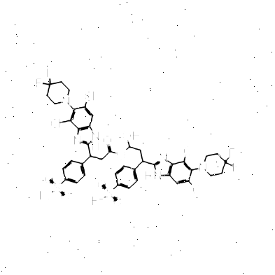 CCS(=O)(=O)c1ccc(C(CC(=O)OC(O)CC(c2ccc(S(=O)(=O)CC)cc2)c2nc3c(Cl)c(N4CCC(F)(F)CC4)c(Cl)cc3[nH]2)c2nc3c(Cl)c(N4CCC(F)(F)CC4)c(Cl)cc3[nH]2)cc1